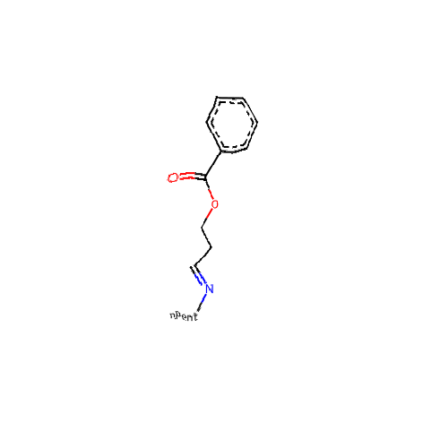 CCCCCN=CCCOC(=O)c1ccccc1